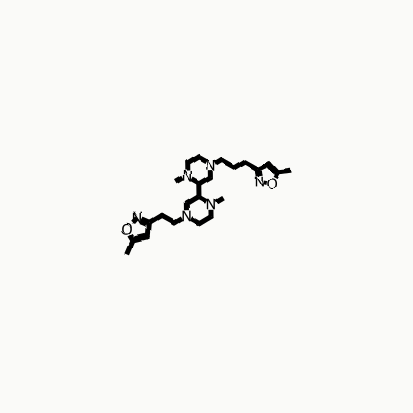 Cc1cc(CCCN2CCN(C)C(C3CN(CCc4cc(C)on4)CCN3C)C2)no1